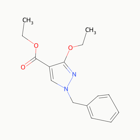 CCOC(=O)c1cn(Cc2ccccc2)nc1OCC